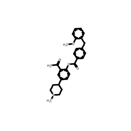 COc1ccccc1Cc1ccc(C(=O)Oc2ccc(C3CCN(C)CC3)cc2C(N)=O)cc1